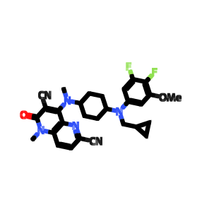 COc1cc(N(CC2CC2)C2CCC(N(C)c3c(C#N)c(=O)n(C)c4ccc(C#N)nc34)CC2)cc(F)c1F